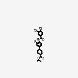 CC(C)OC(=O)[C@H]1CC[C@@H](c2ccc(NC(=O)c3ccc(Cl)c(Cl)c3)c(F)c2)CC1